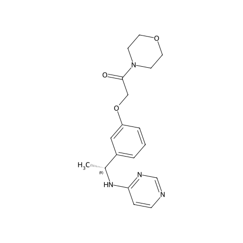 C[C@@H](Nc1ccncn1)c1cccc(OCC(=O)N2CCOCC2)c1